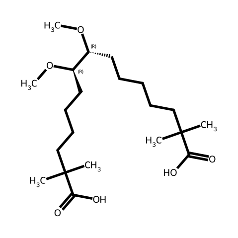 CO[C@H](CCCCCC(C)(C)C(=O)O)[C@@H](CCCCC(C)(C)C(=O)O)OC